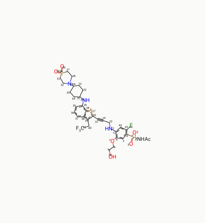 CC(=O)NS(=O)(=O)c1cc(OCCO)c(NCC#Cc2sc3c(NC4CCC(N5CCS(=O)(=O)CC5)CC4)cccc3c2CC(F)(F)F)cc1F